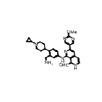 COc1ncc(-c2cc3c(c(Nc4ccc(C5CCN(C6CC6)CC5)c(CN)c4)n2)C(C=O)NC=C3)cn1